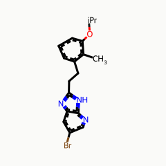 Cc1c(CCc2nc3cc(Br)cnc3[nH]2)cccc1OC(C)C